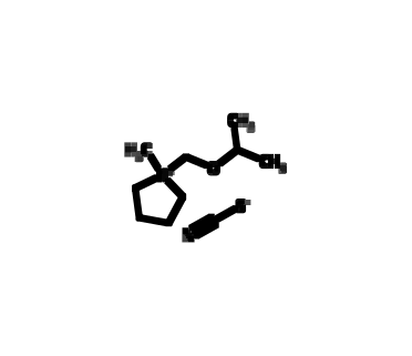 CC(C)OC[N+]1(C)CCCC1.N#C[S-]